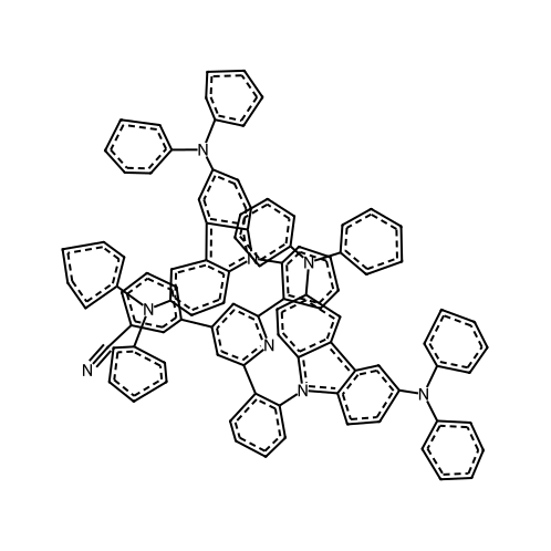 N#Cc1cccc(-c2cc(-c3ccccc3-n3c4ccc(N(c5ccccc5)c5ccccc5)cc4c4cc(N(c5ccccc5)c5ccccc5)ccc43)nc(-c3ccccc3-n3c4ccc(N(c5ccccc5)c5ccccc5)cc4c4cc(N(c5ccccc5)c5ccccc5)ccc43)c2)c1